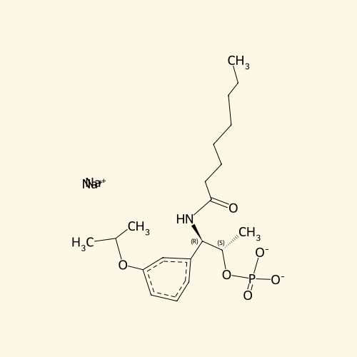 CCCCCCCC(=O)N[C@H](c1cccc(OC(C)C)c1)[C@H](C)OP(=O)([O-])[O-].[Na+].[Na+]